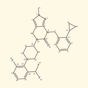 Cn1cc2c(n1)N(Cc1ccccc1C1CC1)C(=O)N(C1CCN(c3c(F)cccc3C(F)F)CC1)C2